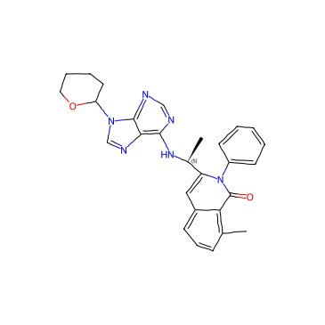 Cc1cccc2cc([C@H](C)Nc3ncnc4c3ncn4C3CCCCO3)n(-c3ccccc3)c(=O)c12